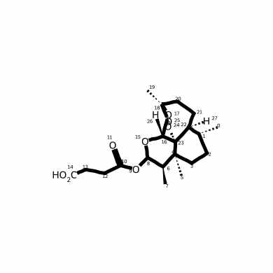 C[C@@H]1CC[C@@]2(C)[C@@H](C)C(OC(=O)CCC(=O)O)O[C@@H]3O[C@]4(C)CC[C@@H]1[C@]32OO4